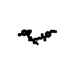 COc1ccc(NC(=O)CCCCC(C)NCCc2c[nH]c3ccc(Cl)cc23)cc1